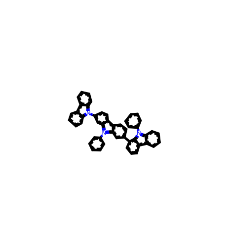 c1ccc(-n2c3cc(-c4cccc5c6ccccc6n(-c6ccccc6)c45)ccc3c3ccc(-n4c5ccccc5c5ccccc54)cc32)cc1